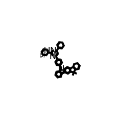 C[C@@H]1C=CCC(C2=NC(c3ccc(-n4c5ccccc5c5cc6c(cc54)C4=C(C=CCC4)C6(C)C)cc3)=CC(C3=CCCC=C3)N2)C1